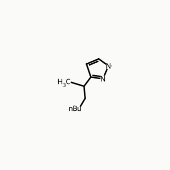 CCCCCC(C)C1=N[N]C=C1